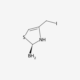 B[C@@H]1NC(CI)=CS1